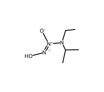 CCN(C(C)C)/[N+]([O-])=N/O